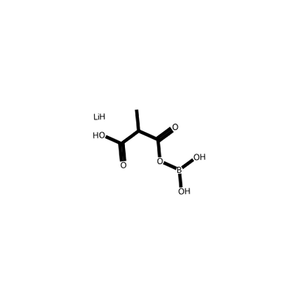 CC(C(=O)O)C(=O)OB(O)O.[LiH]